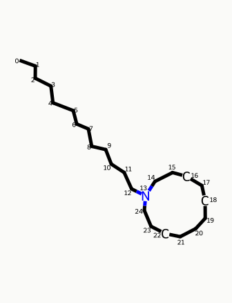 CCCCCCCCCCCCCN1CCCCCCCCCCC1